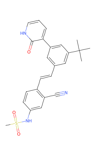 CC(C)(C)c1cc(/C=C/c2ccc(NS(C)(=O)=O)cc2C#N)cc(-c2ccc[nH]c2=O)c1